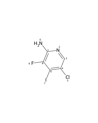 Nc1ncc(Cl)c(I)c1F